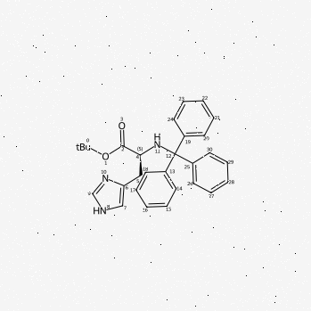 CC(C)(C)OC(=O)[C@H](Cc1c[nH]cn1)NC(c1ccccc1)(c1ccccc1)c1ccccc1